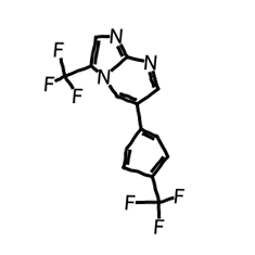 FC(F)(F)c1ccc(-c2cnc3ncc(C(F)(F)F)n3c2)cc1